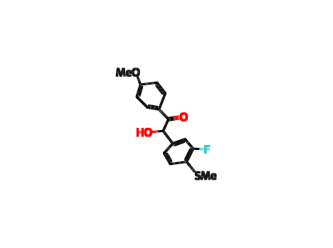 COc1ccc(C(=O)C(O)c2ccc(SC)c(F)c2)cc1